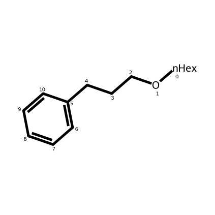 [CH2]CCCCCOCCCc1ccccc1